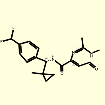 CN/C(C)=N\C(=C/C=O)C(=O)N[C@@H](c1ccc(C(F)F)cc1)C1(C)CC1